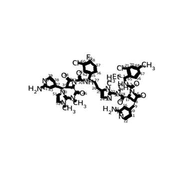 CC[C@@H](NC(=O)N1C(=O)[C@H](Cc2ccnc(N)c2)[C@H]1C(=O)N(C)c1ncc(CC[C@@H](NC(=O)N2C(=O)[C@H](Cc3ccnc(N)c3)[C@H]2C(=O)N(C)c2nccn2C)c2ccc(F)c(Cl)c2)n1C)c1ccc(C)cc1Cl